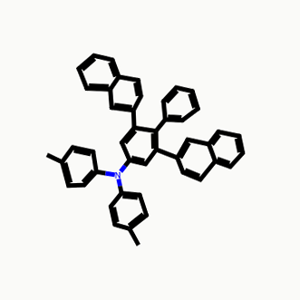 Cc1ccc(N(c2ccc(C)cc2)c2cc(-c3ccc4ccccc4c3)c(-c3ccccc3)c(-c3ccc4ccccc4c3)c2)cc1